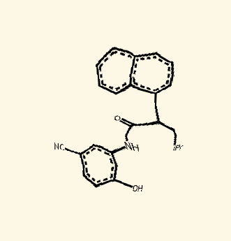 CC(C)CC(C(=O)Nc1cc(C#N)ccc1O)c1cccc2ccccc12